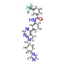 Cc1nccn1-c1ccc(Cn2ccc3c(-c4cccc(NC(=O)c5cccc(C(F)(F)F)c5)c4)ncnc32)cc1